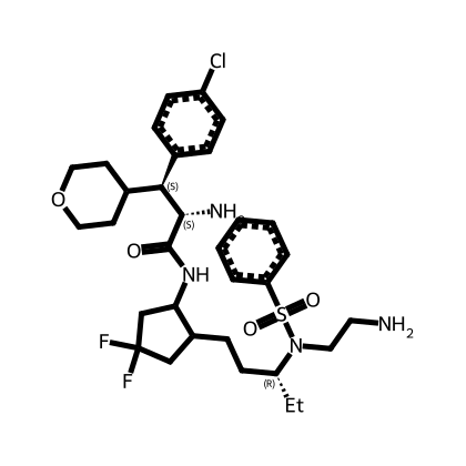 CC[C@H](CCC1CC(F)(F)CC1NC(=O)[C@@H](N)[C@H](c1ccc(Cl)cc1)C1CCOCC1)N(CCN)S(=O)(=O)c1ccccc1